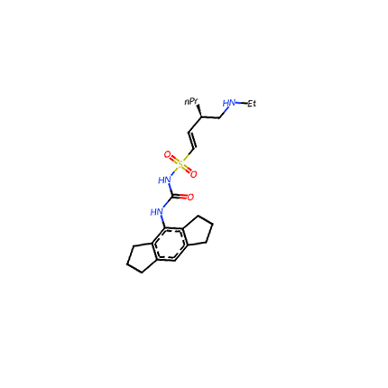 CCC[C@H](/C=C/S(=O)(=O)NC(=O)Nc1c2c(cc3c1CCC3)CCC2)CNCC